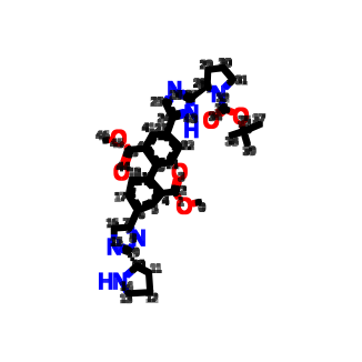 COC(=O)c1cc(C2=NC([C@@H]3CCCN3)=NC2)ccc1-c1ccc(-c2cnc([C@H]3CCCN3C(=O)OC(C)(C)C)[nH]2)cc1C(=O)OC